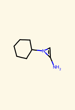 NC1=CN1C1CCCCC1